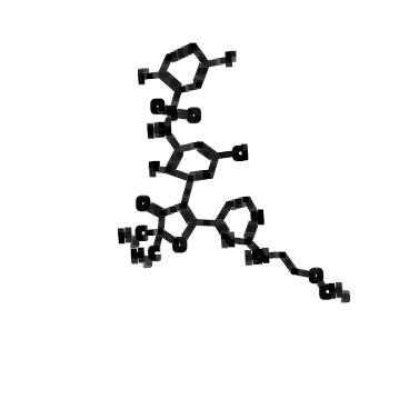 COCCNc1nccc(C2=C(c3cc(Cl)cc(NS(=O)(=O)c4cc(F)ccc4F)c3F)C(=O)C(C)(C)O2)n1